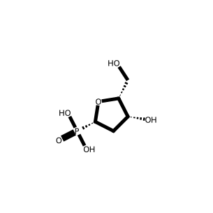 O=P(O)(O)[C@H]1C[C@@H](O)[C@@H](CO)O1